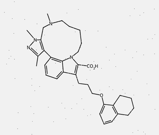 Cc1nn(C)c2c1-c1cccc3c(CCCOc4cccc5c4CCCC5)c(C(=O)O)n(c13)CCCCCN(C)C2